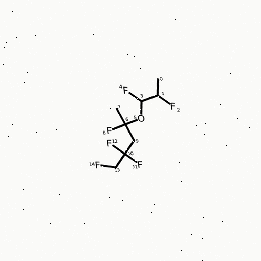 CC(F)C(F)OC(C)(F)CC(F)(F)CF